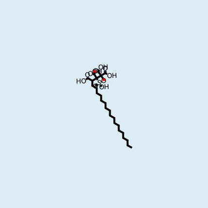 CCCCCCCCCCCCCCCCCCC(C(=O)O)C(C(=O)O)(C(C)(C(=O)O)C(=O)O)S(=O)(=O)O